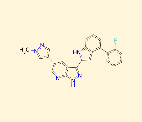 Cn1cc(-c2cnc3[nH]nc(-c4cc5c(-c6ccccc6F)cccc5[nH]4)c3c2)cn1